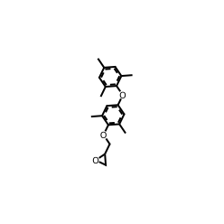 Cc1cc(C)c(Oc2cc(C)c(OCC3CO3)c(C)c2)c(C)c1